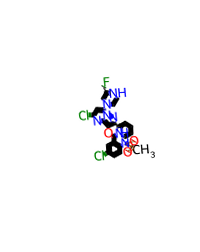 CS(=O)(=O)Nc1ccc(Cl)cc1C(=O)N1CCCC[C@H]1c1cc2nc(Cl)cc(N3CCN[C@@H](CF)C3)n2n1